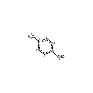 C[n+]1ccc([C]=O)cc1